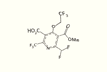 COC(=O)c1c(C(F)F)nc(C(F)(F)F)c(C(=O)O)c1OCC(F)(F)F